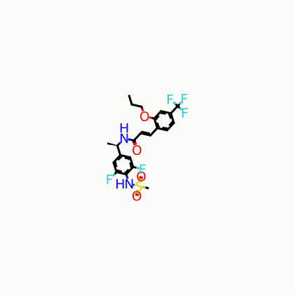 CCCOc1cc(C(F)(F)F)ccc1C=CC(=O)N[C@H](C)c1cc(F)c(NS(C)(=O)=O)c(F)c1